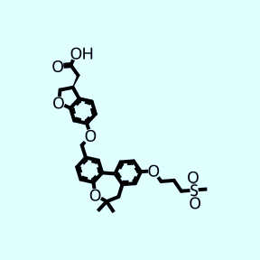 CC1(C)Cc2cc(OCCCS(C)(=O)=O)ccc2-c2cc(COc3ccc4c(c3)OC[C@H]4CC(=O)O)ccc2O1